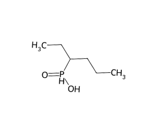 CCCC(CC)[PH](=O)O